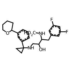 O=C(O)NC(Cc1cc(F)cc(F)c1)C(O)CNC1(c2cccc(C3CCCCO3)c2)CC1